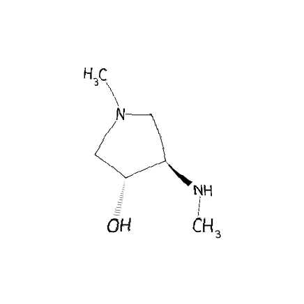 CN[C@@H]1CN(C)C[C@H]1O